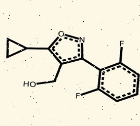 OCc1c(-c2c(F)cccc2F)noc1C1CC1